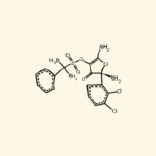 BC(B)(c1ccccc1)S(=O)(=O)OC1=C(N)O[C@](B)(c2cccc(Cl)c2Cl)C1=O